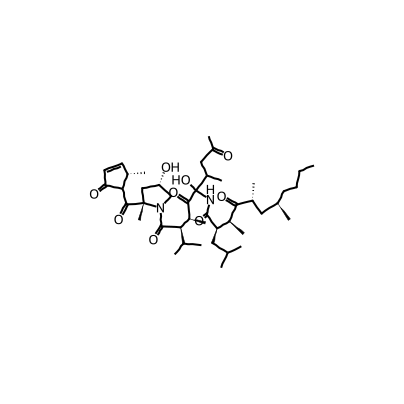 CCCC[C@@H](C)C[C@@H](C)C(=O)[C@@H](C)[C@@H](CC(C)C)C(=O)NC(O)(C(=O)[C@@H](C)[C@H](C(=O)N1C[C@@H](O)C[C@@]1(C)C(=O)C1C(=O)C=C[C@@H]1C)C(C)C)C(C)CC(C)=O